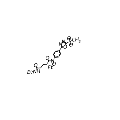 CCNC(=O)CCCC(=O)N(OCC)c1ccc(-c2nnc(S(C)(=O)=O)o2)cc1